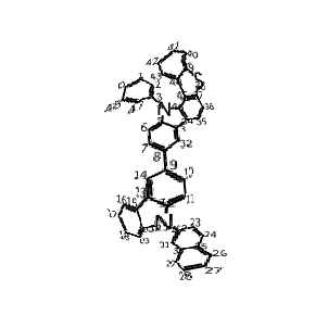 c1ccc(-n2c3ccc(-c4ccc5c(c4)c4ccccc4n5-c4ccc5ccccc5c4)cc3c3ccc4sc5ccccc5c4c32)cc1